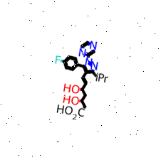 CC(C)c1nn(-c2cnccn2)c(-c2ccc(F)cc2)c1C=CC(O)CC(O)CC(=O)O